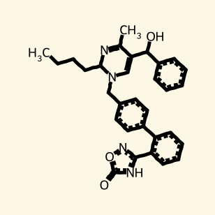 CCCCC1N=C(C)C(C(O)c2ccccc2)=CN1Cc1ccc(-c2ccccc2-c2noc(=O)[nH]2)cc1